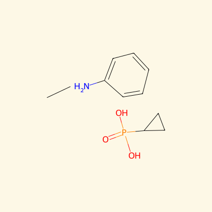 CC.Nc1ccccc1.O=P(O)(O)C1CC1